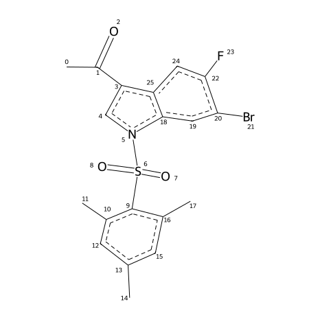 CC(=O)c1cn(S(=O)(=O)c2c(C)cc(C)cc2C)c2cc(Br)c(F)cc12